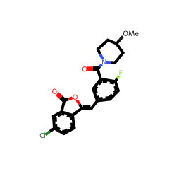 COC1CCN(C(=O)c2cc(/C=C3\OC(=O)c4cc(Cl)ccc43)ccc2F)CC1